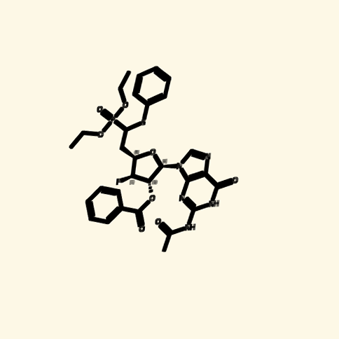 CCOP(=O)(OCC)C(C[C@H]1O[C@@H](n2cnc3c(=O)[nH]c(NC(C)=O)nc32)[C@H](OC(=O)c2ccccc2)[C@H]1F)Sc1ccccc1